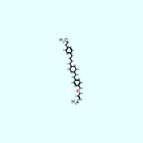 C=CCc1ccc(CCCCC2CCC(CCc3ccc(COCC=CC)cc3)CC2)cc1